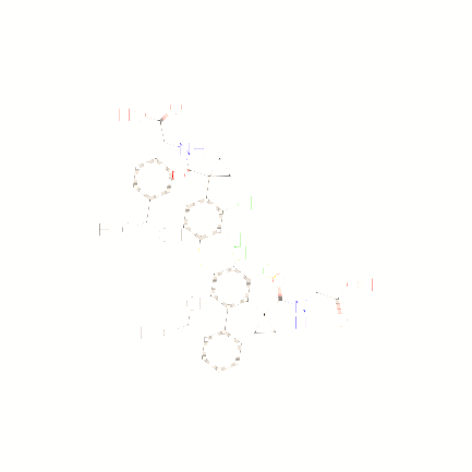 CC(C)c1ccccc1-c1cc(Sc2cc(-c3ccccc3C(C)C)c(C3(C(=O)NCC(=O)O)CC3)c(Cl)c2Cl)c(Cl)c(Cl)c1C1(C(=O)NCC(=O)O)CC1